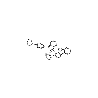 c1ccc(-c2ccc(-c3sc(-c4c(-c5ccccc5)ccc5c4oc4ccccc45)c4ccccc34)cc2)cc1